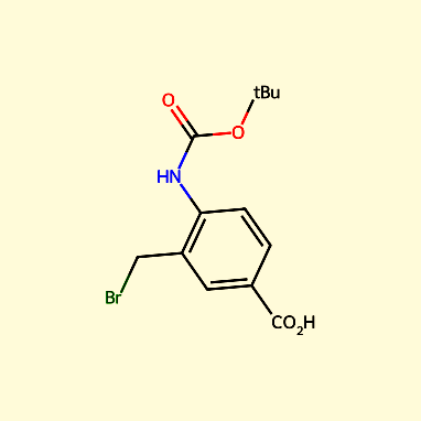 CC(C)(C)OC(=O)Nc1ccc(C(=O)O)cc1CBr